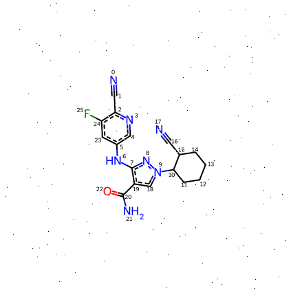 N#Cc1ncc(Nc2nn(C3CCCCC3C#N)cc2C(N)=O)cc1F